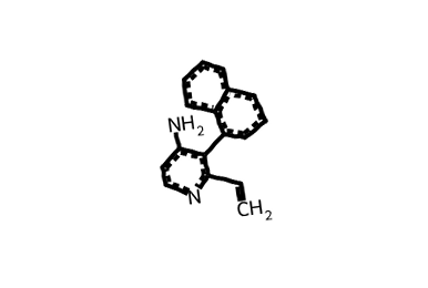 C=Cc1nccc(N)c1-c1cccc2ccccc12